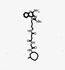 CCCCc1nc2c(N)nc3ccccc3c2n1CCCCNC(=O)CCC(=O)NCC(=O)NC1CCCCCCC(C)C1